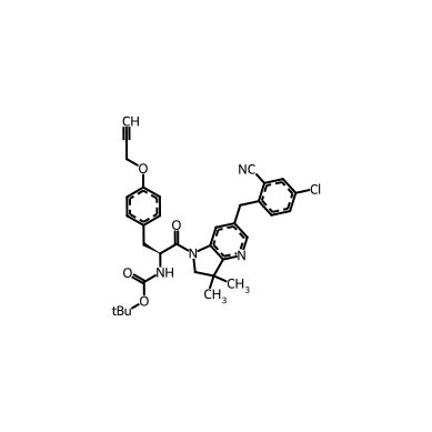 C#CCOc1ccc(C[C@H](NC(=O)OC(C)(C)C)C(=O)N2CC(C)(C)c3ncc(Cc4ccc(Cl)cc4C#N)cc32)cc1